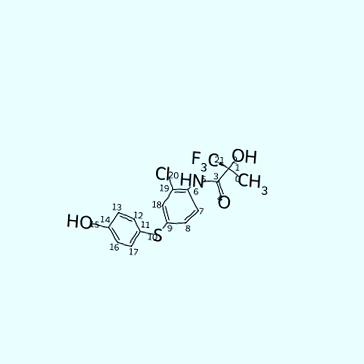 C[C@@](O)(C(=O)Nc1ccc(Sc2ccc(O)cc2)cc1Cl)C(F)(F)F